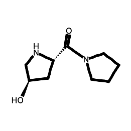 O=C([C@@H]1C[C@@H](O)CN1)N1CCCC1